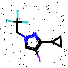 FC(F)(F)Cn1cc(I)c(C2CC2)n1